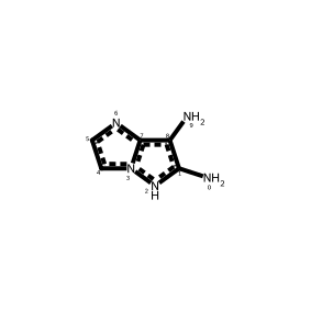 Nc1[nH]n2ccnc2c1N